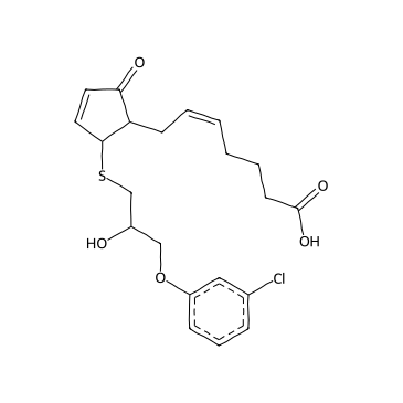 O=C(O)CCC/C=C\CC1C(=O)C=CC1SCC(O)COc1cccc(Cl)c1